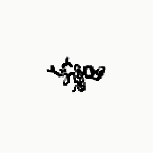 CC(C)CN(CC(C)C)C(=O)CN(Cc1nccn1C)S(=O)(=O)c1ccc2occc2c1